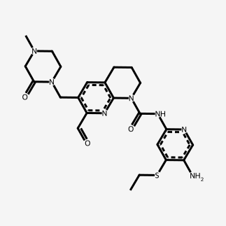 CCSc1cc(NC(=O)N2CCCc3cc(CN4CCN(C)CC4=O)c(C=O)nc32)ncc1N